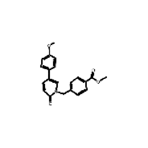 COC(=O)c1ccc(Cn2cc(-c3ccc(OC)cc3)ccc2=O)cc1